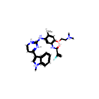 C=C(F)C(=O)Nc1cc(Nc2nccc(-c3cn(C)c4ccccc34)n2)c(OC)cc1OCCN(C)C